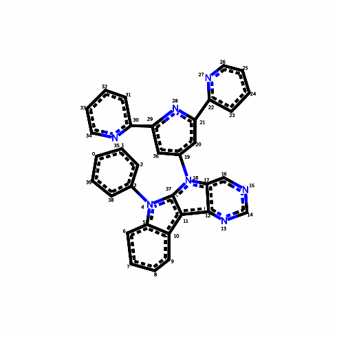 c1ccc(-n2c3ccccc3c3c4ncncc4n(-c4cc(-c5ccccn5)nc(-c5ccccn5)c4)c32)cc1